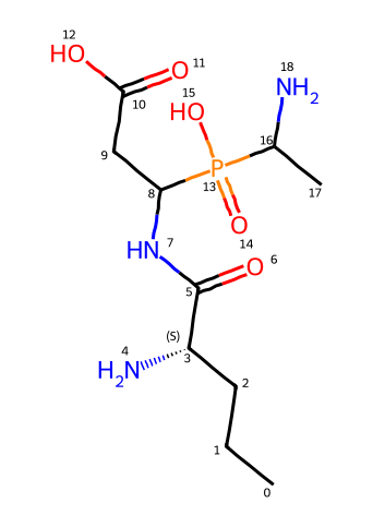 CCC[C@H](N)C(=O)NC(CC(=O)O)P(=O)(O)C(C)N